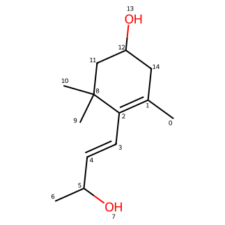 CC1=C(C=CC(C)O)C(C)(C)CC(O)C1